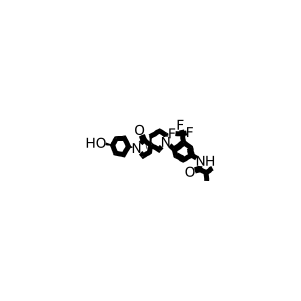 CC(C)C(=O)Nc1ccc(N2CCC[C@]3(CCN([C@H]4CC[C@H](O)CC4)C3=O)C2)c(C(F)(F)F)c1